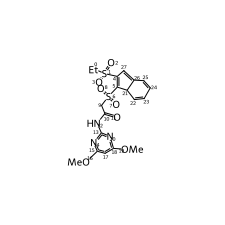 CCS(=O)(=O)C1=C(S(=O)(=O)CC(=O)Nc2nc(OC)cc(OC)n2)C2C=CC=CC2=C1